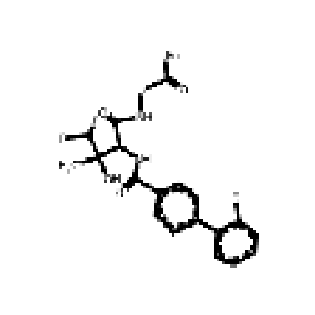 CC(C)(C)C(=O)ONC(=O)C(NC(=O)c1ccc(-c2ccccc2F)cc1)C(C)(O)C(F)F